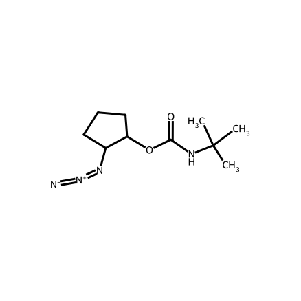 CC(C)(C)NC(=O)OC1CCCC1N=[N+]=[N-]